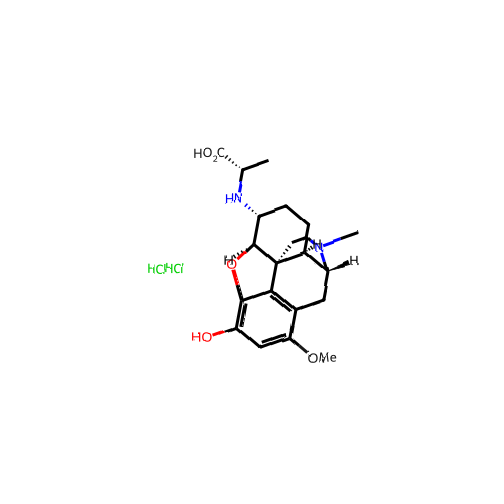 COc1cc(O)c2c3c1C[C@@H]1[C@@H]4CC[C@@H](N[C@@H](C)C(=O)O)[C@H](O2)[C@]34CCN1C.Cl.Cl